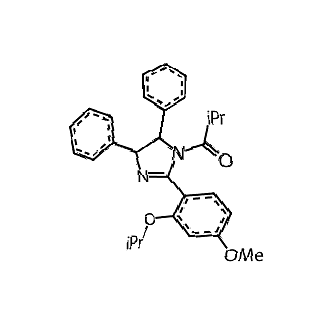 COc1ccc(C2=NC(c3ccccc3)C(c3ccccc3)N2C(=O)C(C)C)c(OC(C)C)c1